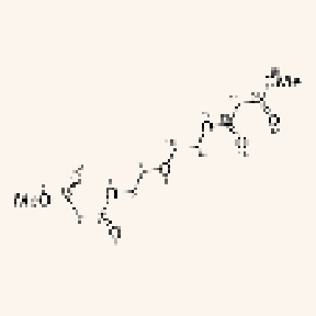 COC(=O)CC(=O)OCCOCCOC(=O)CC(=O)OC